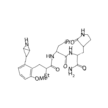 CCC(Cc1c(OC)cccc1C1C2NC21)C(=O)NC(CC(C)C)C(=O)NC(CC1CCNC1=O)C(N)=O